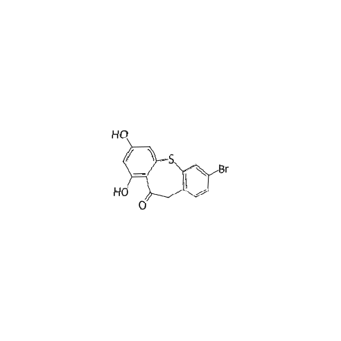 O=C1Cc2ccc(Br)cc2Sc2cc(O)cc(O)c21